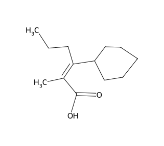 CCCC(=C(C)C(=O)O)C1CCCCC1